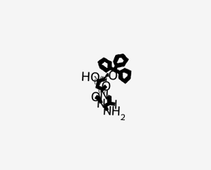 Nc1nc(=O)n([C@H]2C[C@H](O)[C@@H](COC(c3ccccc3)(c3ccccc3)c3ccccc3)O2)cc1I